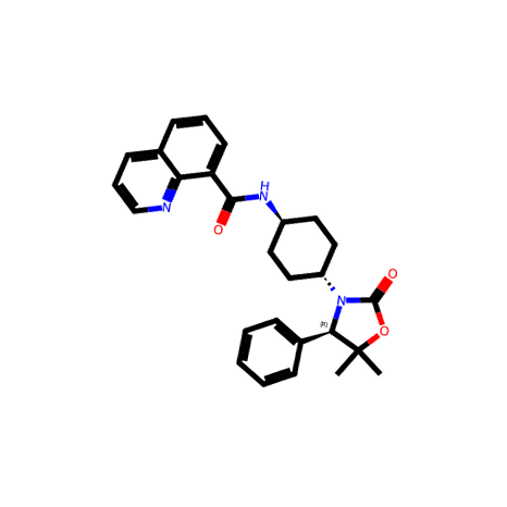 CC1(C)OC(=O)N([C@H]2CC[C@H](NC(=O)c3cccc4cccnc34)CC2)[C@@H]1c1ccccc1